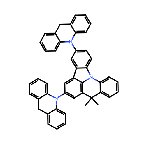 CC1(C)c2ccccc2-n2c3ccc(N4c5ccccc5Cc5ccccc54)cc3c3cc(N4c5ccccc5Cc5ccccc54)cc1c32